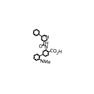 CNc1ccccc1-c1ccc(C(=O)O)c(NC(=O)c2cncc(-c3ccccc3)c2)c1